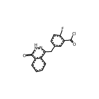 O=C(Cl)c1cc(Cc2n[nH]c(=O)c3ccccc23)ccc1F